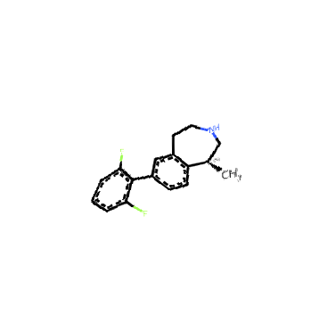 C[C@@H]1CNCCc2cc(-c3c(F)cccc3F)ccc21